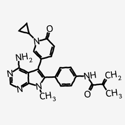 C=C(C)C(=O)Nc1ccc(-c2c(-c3ccc(=O)n(C4CC4)c3)c3c(N)ncnc3n2C)cc1